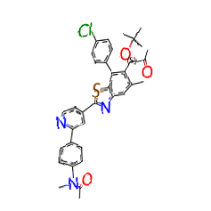 CC(=O)[C@@H](OC(C)(C)C)c1c(C)cc2nc(-c3ccnc(-c4ccc(N(C)C(C)=O)cc4)c3)sc2c1-c1ccc(Cl)cc1